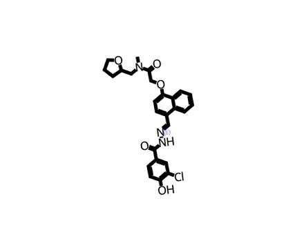 CN(CC1CCCO1)C(=O)COc1ccc(/C=N/NC(=O)c2ccc(O)c(Cl)c2)c2ccccc12